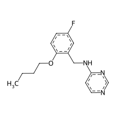 CCCCOc1ccc(F)cc1CNc1ccncn1